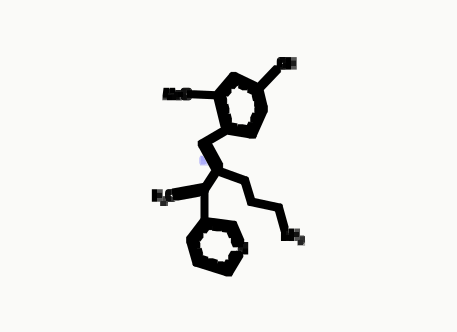 C=C(/C(=C/c1ccc(O)cc1OC)CCCN)c1cccnc1